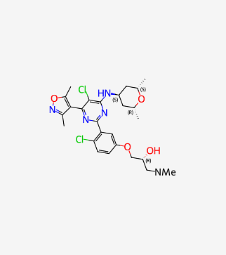 CNC[C@@H](O)COc1ccc(Cl)c(-c2nc(N[C@@H]3C[C@@H](C)O[C@@H](C)C3)c(Cl)c(-c3c(C)noc3C)n2)c1